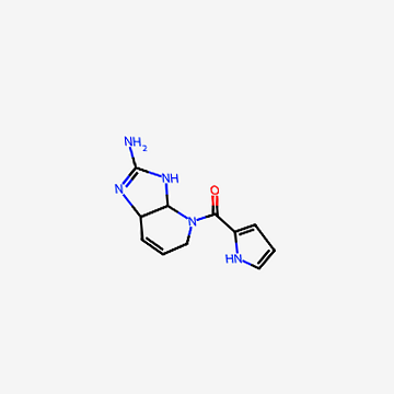 NC1=NC2C=CCN(C(=O)c3ccc[nH]3)C2N1